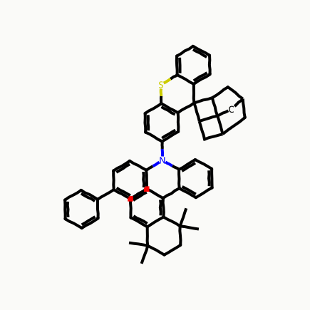 CC1(C)CCC(C)(C)c2c(-c3ccccc3N(c3ccc(-c4ccccc4)cc3)c3ccc4c(c3)C3(c5ccccc5S4)C4CC5CC6CC3C64C5)cccc21